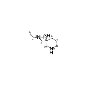 SC1(CNCI)CCCNC1